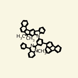 CN1C(c2cc(-c3ccc4c5c(cccc35)-c3ccccc3-4)cc(-n3c4ccccc4c4cc5c(cc43)C(C)(C)c3ccc4ccccc4c3-5)c2)=NC(c2ccccc2)=C2C=CC=CC21